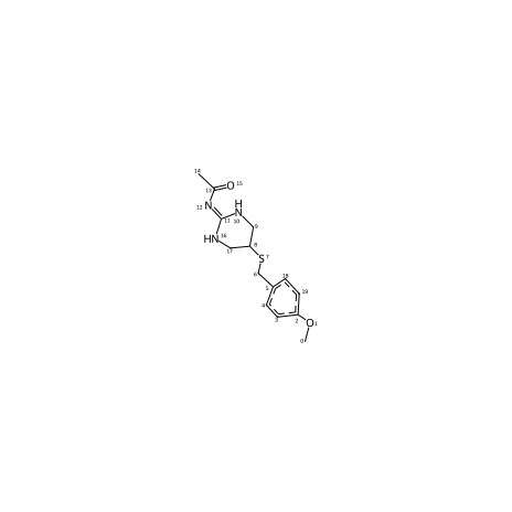 COc1ccc(CSC2CNC(=NC(C)=O)NC2)cc1